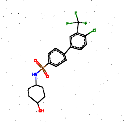 O=S(=O)(NC1CCC(O)CC1)c1ccc(-c2ccc(Cl)c(C(F)(F)F)c2)cc1